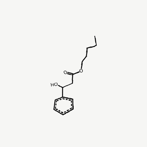 CCCCCOC(=O)CC(O)c1ccccc1